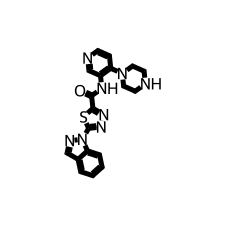 O=C(Nc1cnccc1N1CCNCC1)c1nnc(-n2ncc3ccccc32)s1